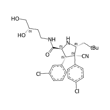 CC(C)(C)C[C@H]1N[C@H](C(=O)NCC[C@H](O)CO)[C@@H](c2cccc(Cl)c2)[C@]1(C#N)c1ccc(Cl)cc1